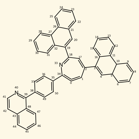 C1=CC(C2=CC3C=CC=CC3c3ccccc32)=CC(c2cc3ccccc3c3ccccc23)=NC=1c1ccc(-c2nccc3ccccc23)cc1